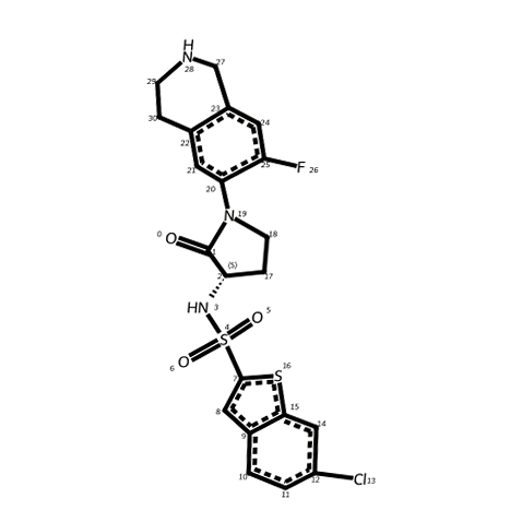 O=C1[C@@H](NS(=O)(=O)c2cc3ccc(Cl)cc3s2)CCN1c1cc2c(cc1F)CNCC2